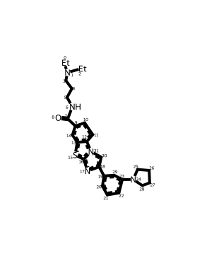 CCN(CC)CCCNC(=O)c1ccc2c(c1)sc1nc(-c3cccc(N4CCCC4)c3)cn12